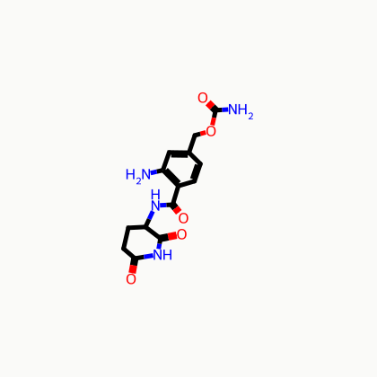 NC(=O)OCc1ccc(C(=O)NC2CCC(=O)NC2=O)c(N)c1